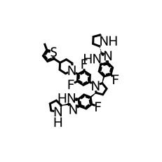 Cc1ccc(C2CCN(c3c(F)cc(N4[C@@H](c5cc6[nH]c([C@@H]7CCCN7)nc6cc5F)CC[C@H]4c4cc5[nH]c([C@@H]6CCCN6)nc5cc4F)cc3F)CC2)s1